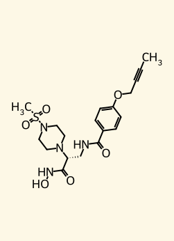 CC#CCOc1ccc(C(=O)NC[C@H](C(=O)NO)N2CCN(S(C)(=O)=O)CC2)cc1